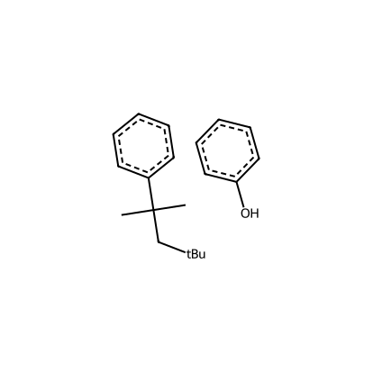 CC(C)(C)CC(C)(C)c1ccccc1.Oc1ccccc1